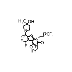 CC(C)Cn1c(=O)c2c(C(F)F)c(C(=O)N3CCC(C)(O)CC3)sc2n(CCOC(F)(F)F)c1=O